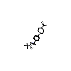 CC(=O)N1CCN(c2ccc(/C(C)=N/[S+]([O-])C(C)(C)C)cc2)CC1